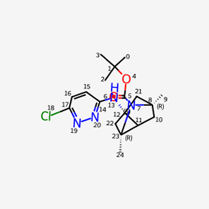 CC(C)(C)OC(=O)N1[C@]2(C)CC3[C@](Nc4ccc(Cl)nn4)(C2)C[C@]31C